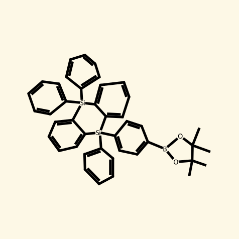 CC1(C)OB(c2ccc([Si]3(c4ccccc4)c4ccccc4[Si](c4ccccc4)(c4ccccc4)c4ccccc43)cc2)OC1(C)C